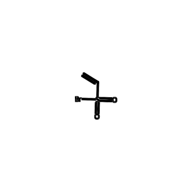 C=CS(=O)(=O)Br